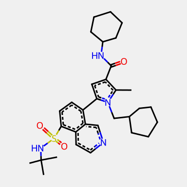 Cc1c(C(=O)NC2CCCCC2)cc(-c2ccc(S(=O)(=O)NC(C)(C)C)c3ccncc23)n1CC1CCCCC1